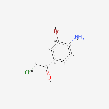 Nc1ccc(C(=O)CCl)cc1Br